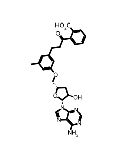 Cc1cc(CCC(=O)c2ccccc2C(=O)O)cc(OC[C@@H]2C[C@@H](O)[C@H](n3cnc4c(N)ncnc43)O2)c1